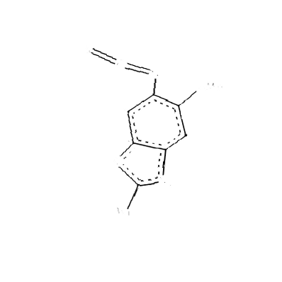 COc1cc2nc(C(C)(C)C)sc2cc1N=C=S